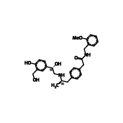 COc1ccccc1CNC(=O)Cc1ccc(C[C@@H](C)NC[C@@H](O)c2ccc(O)c(CO)c2)cc1